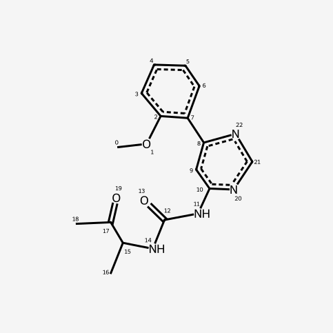 COc1ccccc1-c1cc(NC(=O)NC(C)C(C)=O)ncn1